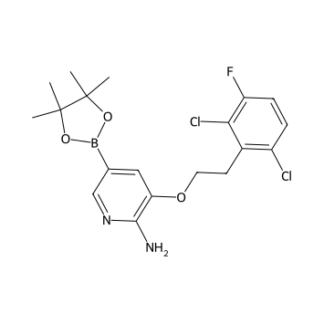 CC1(C)OB(c2cnc(N)c(OCCc3c(Cl)ccc(F)c3Cl)c2)OC1(C)C